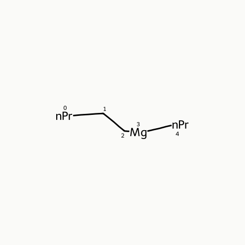 CCCC[CH2][Mg][CH2]CC